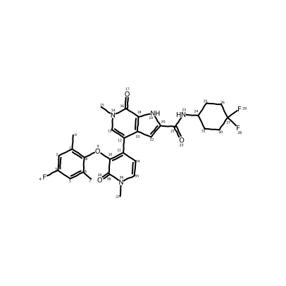 Cc1cc(F)cc(C)c1Oc1c(-c2cn(C)c(=O)c3[nH]c(C(=O)NC4CCC(F)(F)CC4)cc23)ccn(C)c1=O